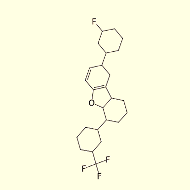 FC1CCCC(C2C=CC3=C(C2)C2CCCC(C4CCCC(C(F)(F)F)C4)C2O3)C1